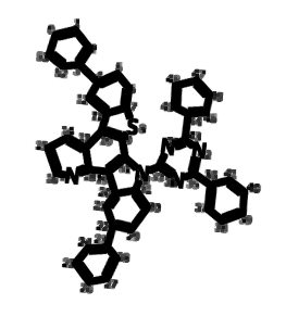 c1ccc(-c2ccc3sc4c(c3c2)c2cccnc2c2c3cc(-c5ccccc5)ccc3n(-c3nc(-c5ccccc5)nc(-c5ccccc5)n3)c42)cc1